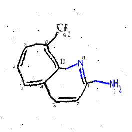 Nc1ccc2cccc(C(F)(F)F)c2n1